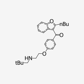 CCCCc1oc2ccccc2c1C(=O)c1ccc(OCCNCC(C)(C)C)cc1